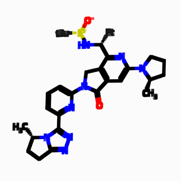 CC[C@@H](N[S@@+]([O-])C(C)(C)C)c1nc(N2CCC[C@H]2C)cc2c1CN(c1cccc(-c3nnc4n3[C@@H](C)CC4)n1)C2=O